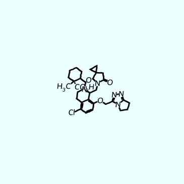 C[C@]1(C(=O)O)CCCCC1C(=O)N1CCc2c(Cl)ccc(OCc3nnc4n3CCC4)c2C1CN1CC2(CC2)CC1=O